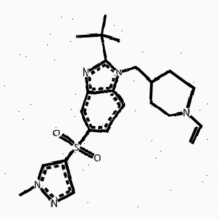 C=CN1CCC(Cn2c(C(C)(C)C)nc3cc(S(=O)(=O)c4cnn(C)c4)ccc32)CC1